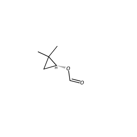 CC1(C)C[C@H]1OC=O